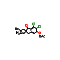 C=CC1(CCC(C)=O)Cc2cc(OOC(C)=O)c(Cl)c(Cl)c2C1=O